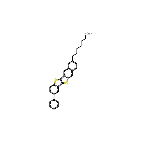 CCCCCCCCCCCCCCCCc1ccc2cc3sc4c5cc(-c6ccccc6)ccc5sc4c3cc2c1